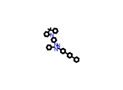 CC1(C)c2ccccc2N(c2ccc(-n3nc(-c4ccc(-c5ccc(-c6ccccc6)cc5)cc4)nc3-c3ccccc3)cc2)c2ccccc21